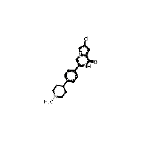 CN1CCC(c2ccc(-c3cn4cc(Cl)cc4c(=O)[nH]3)cc2)CC1